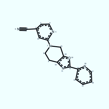 N#Cc1ccnc(N2CCc3nc(-c4ccccn4)oc3C2)c1